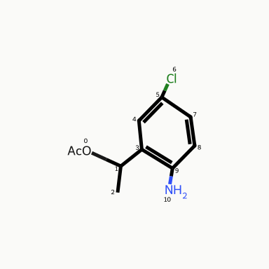 CC(=O)OC(C)c1cc(Cl)ccc1N